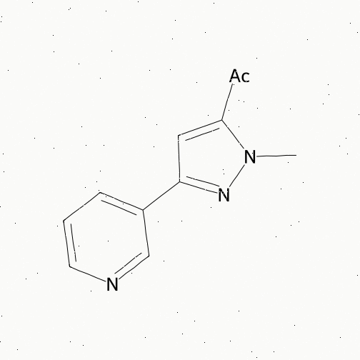 CC(=O)c1cc(-c2cccnc2)nn1C